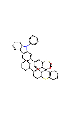 C1=CC2=C(CC1)C1(C3=CCCC=C3SC3C=C(C4=CC5=C(CC4)C4C=CCCC4N5c4ccccc4)C=CC31)C1=C(CCC(C3=CCCCC3)=C1)S2